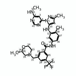 CNc1cc(-n2nc(C)cc2Nc2cc(NC(=O)c3cc(CN4CCO[C@H](C)C4)cc(C(F)(F)F)c3)ccc2C)ncn1